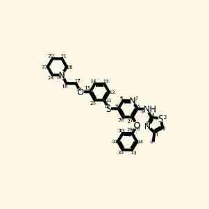 Cc1csc(Nc2ncc(Sc3cccc(OCCN4CCCCC4)c3)cc2Oc2ccccc2)n1